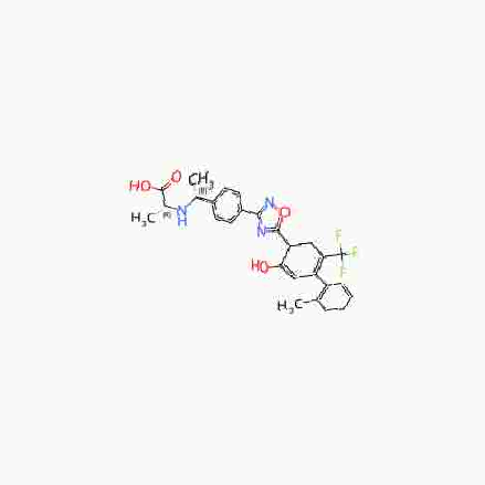 CC1=C(C2=C(C(F)(F)F)CC(c3nc(-c4ccc([C@@H](C)N[C@H](C)C(=O)O)cc4)no3)C(O)=C2)C=CCC1